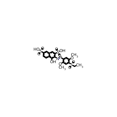 CCS(=O)(=O)c1cc(OC)c(/N=N/c2c(S(=O)(=O)O)cc3cc(S(=O)(=O)O)ccc3c2O)cc1OC